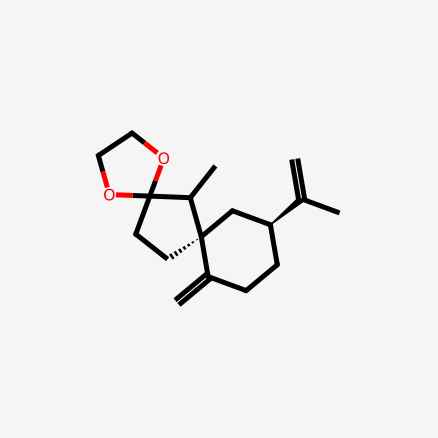 C=C(C)[C@H]1CCC(=C)[C@]2(CCC3(OCCO3)C2C)C1